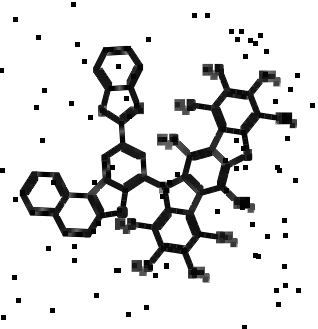 Bc1c(B)c(B)c2c(sc3c(B)c4c5c(B)c(B)c(B)c(B)c5n(-c5cc(-c6nc7ccccc7s6)cc6c5oc5ccc7ccccc7c56)c4c(B)c32)c1B